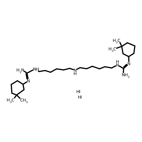 CC1(C)CCCC(N=C(N)NCCCCCCNCCCCCCNC(N)=NC2CCCC(C)(C)C2)C1.I.I